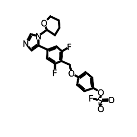 O=S(=O)(F)Oc1ccc(OCc2c(F)cc(-c3cncn3C3CCCCO3)cc2F)cc1